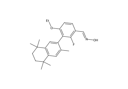 CCOc1ccc(C=NO)c(F)c1-c1cc2c(cc1C)C(C)(C)CCC2(C)C